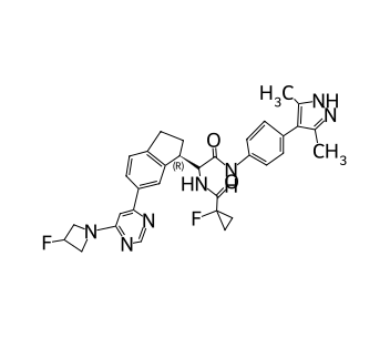 Cc1n[nH]c(C)c1-c1ccc(NC(=O)C(NC(=O)C2(F)CC2)[C@@H]2CCc3ccc(-c4cc(N5CC(F)C5)ncn4)cc32)cc1